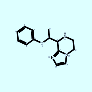 CC(Oc1ccccc1)C1NCCn2ccnc21